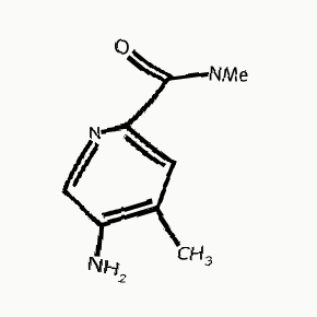 CNC(=O)c1cc(C)c(N)cn1